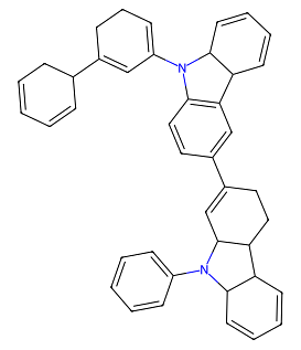 C1=CCC(C2=CC(N3c4ccc(C5=CC6C(CC5)C5C=CC=CC5N6c5ccccc5)cc4C4C=CC=CC43)=CCC2)C=C1